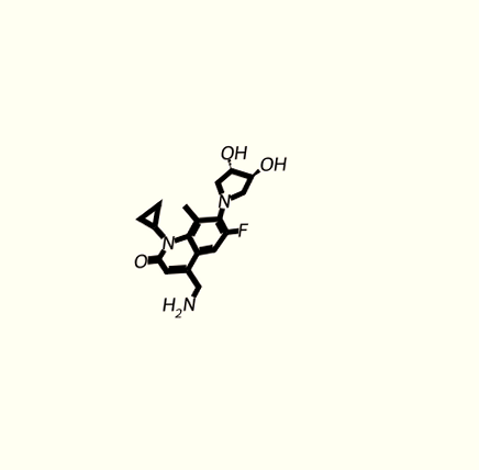 Cc1c(N2C[C@H](O)[C@@H](O)C2)c(F)cc2c(CN)cc(=O)n(C3CC3)c12